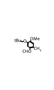 COc1cc(C)c(C=O)cc1OCC(C)(C)C